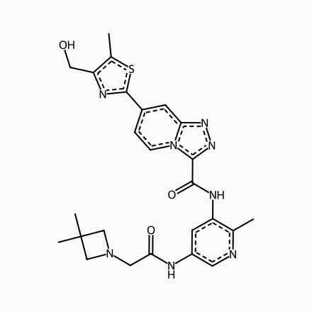 Cc1ncc(NC(=O)CN2CC(C)(C)C2)cc1NC(=O)c1nnc2cc(-c3nc(CO)c(C)s3)ccn12